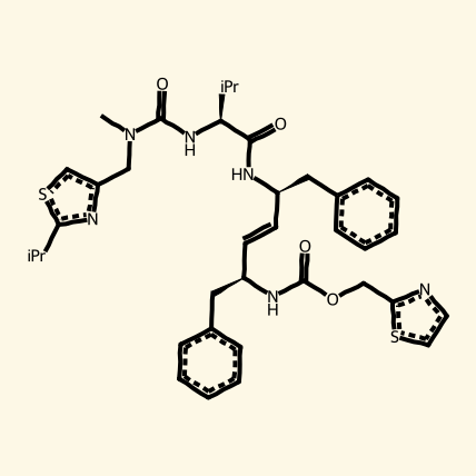 CC(C)c1nc(CN(C)C(=O)N[C@H](C(=O)N[C@H](/C=C/[C@H](Cc2ccccc2)NC(=O)OCc2nccs2)Cc2ccccc2)C(C)C)cs1